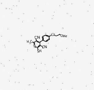 COCCOc1ccc(-c2c(C#N)c(C)nc(S)c2C#N)cc1